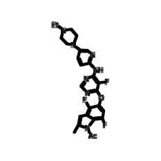 CCN1CCN(c2ccc(Nc3ncnc(Oc4cc(F)c5c(cc(C)n5C(C)=O)c4F)c3F)nc2)CC1